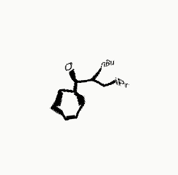 CCCCC(CC(C)C)C(=O)c1ccccc1